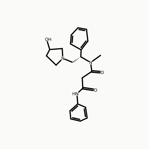 CN(C(=O)CC(=O)Nc1ccccc1)[C@H](CN1CCC(O)C1)c1ccccc1